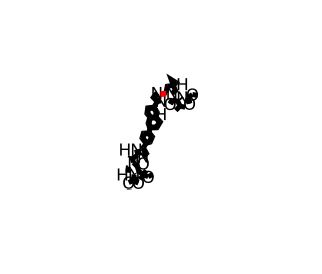 CCN(C(=O)[C@@H](NC(=O)OC)C(C)(C)OC)[C@@H](C)c1ncc(-c2ccc(-c3ccc4cc(-c5cnc([C@@H]6CC7(CC7)CN6C(=O)[C@@H](NC(=O)OC)C(C)C)[nH]5)ccc4c3)cc2)[nH]1